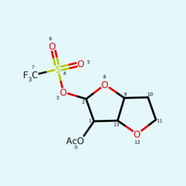 CC(=O)OC1C(OS(=O)(=O)C(F)(F)F)OC2CCOC21